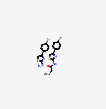 CC(=O)OCC(=O)Nc1nc(-c2ccc(Br)cc2)cs1.Nc1nc(-c2ccc(Br)cc2)cs1